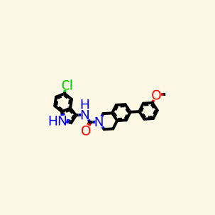 COc1cccc(-c2ccc3c(c2)CCN(C(=O)Nc2c[nH]c4ccc(Cl)cc24)C3)c1